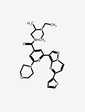 CCN(CC)C(C)CNC(=O)c1cc(-c2cnn3ccc(-c4cccs4)nc23)nc(N2CCOCC2)c1